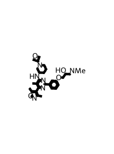 CNCC(O)COc1cccc(-c2nc(NC3CCCN(C4COC4)C3)c(C)c(-c3c(C)noc3C)n2)c1